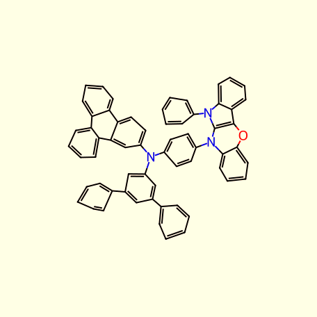 c1ccc(-c2cc(-c3ccccc3)cc(N(c3ccc(N4c5ccccc5Oc5c4n(-c4ccccc4)c4ccccc54)cc3)c3ccc4c5ccccc5c5ccccc5c4c3)c2)cc1